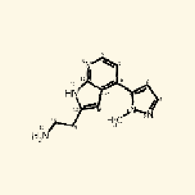 Cn1nccc1-c1ccnc2[nH]c(CCN)cc12